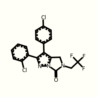 O=C1N(CC(F)(F)F)Cc2c(-c3ccc(Cl)cc3)c(-c3ccccc3Cl)nn21